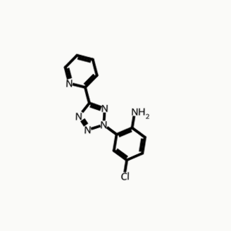 Nc1ccc(Cl)cc1-n1nnc(-c2ccccn2)n1